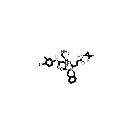 Cc1cc(NC(=O)[C@H](CCN)NC(=O)[C@@H]2Cc3ccccc3CN2C(=O)CCC(=O)NC2CC2(F)F)ccc1Cl